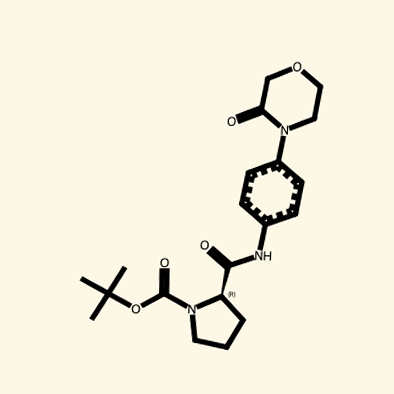 CC(C)(C)OC(=O)N1CCC[C@@H]1C(=O)Nc1ccc(N2CCOCC2=O)cc1